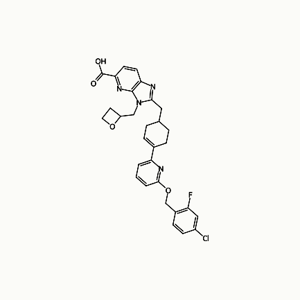 O=C(O)c1ccc2nc(CC3CC=C(c4cccc(OCc5ccc(Cl)cc5F)n4)CC3)n(CC3CCO3)c2n1